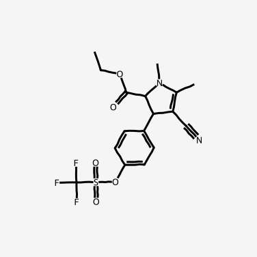 CCOC(=O)C1C(c2ccc(OS(=O)(=O)C(F)(F)F)cc2)C(C#N)=C(C)N1C